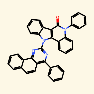 O=c1c2c3ccccc3n(-c3nc(-c4ccccc4)c4ccc5ccccc5c4n3)c2c2ccccc2n1-c1ccccc1